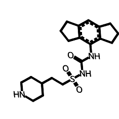 O=C(Nc1c2c(cc3c1CCC3)CCC2)NS(=O)(=O)CCC1CCNCC1